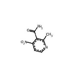 Cc1nccc([N+](=O)[O-])c1C(N)=O